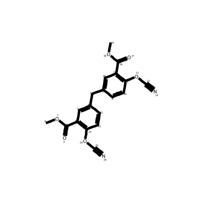 COC(=O)c1cc(Cc2ccc(OC#N)c(C(=O)OC)c2)ccc1OC#N